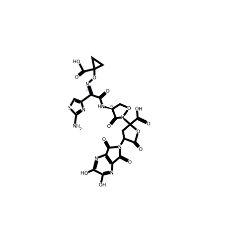 Nc1nc(/C(=N/OC2(C(=O)O)CC2)C(=O)N[C@H]2CON(C3(C(=O)O)CC(N4C(=O)c5nc(O)c(O)nc5C4=O)C(=O)O3)C2=O)cs1